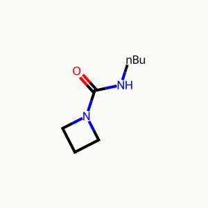 CCCCNC(=O)N1CCC1